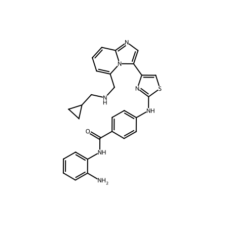 Nc1ccccc1NC(=O)c1ccc(Nc2nc(-c3cnc4cccc(CNCC5CC5)n34)cs2)cc1